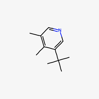 Cc1cncc(C(C)(C)C)c1C